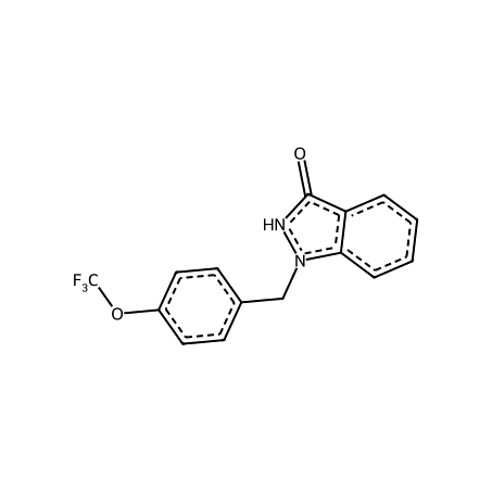 O=c1[nH]n(Cc2ccc(OC(F)(F)F)cc2)c2ccccc12